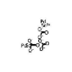 O=C([O-])[O-].O=C([O-])[O-].O=C([O-])[O-].[Pd].[Pd].[Sc+3].[Sc+3]